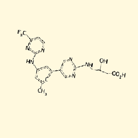 Cc1cc(Nc2nccc(C(F)(F)F)n2)cc(-c2cnc(NCC(O)CC(=O)O)nc2)c1